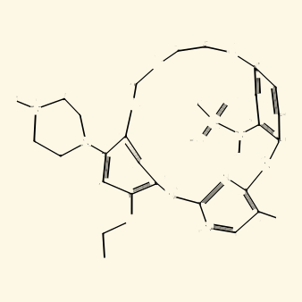 CCOc1cc(N2CCN(C)CC2)c2cc1Nc1ncc(Cl)c(n1)Nc1ccc(cc1N(C)S(C)(=O)=O)OCCCCC2